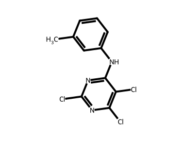 Cc1cccc(Nc2nc(Cl)nc(Cl)c2Cl)c1